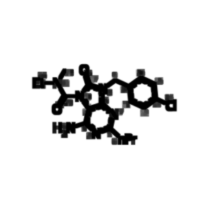 CCCc1nc(N)c2c(n1)n(Cc1ccc(Cl)cc1)c(=O)n2C(=O)N(C)CC